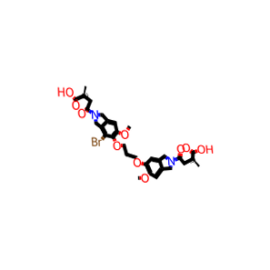 COc1cc2c(cc1OCCCOc1c(OC)cc3c(c1Br)CN(C(=O)C[C@H](C)C(=O)O)C3)CN(C(=O)C[C@H](C)C(=O)O)C2